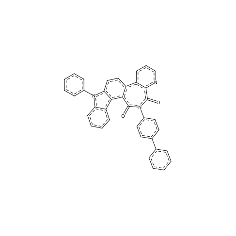 O=c1c2ncccc2c2ccc3c(c4ccccc4n3-c3ccccc3)c2c(=O)n1-c1ccc(-c2ccccc2)cc1